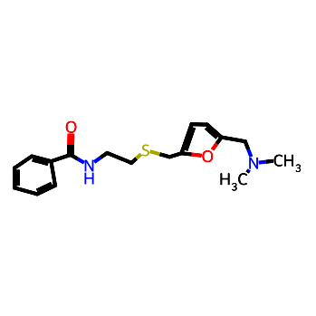 CN(C)Cc1ccc(CSCCNC(=O)c2ccccc2)o1